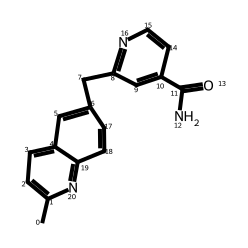 Cc1ccc2cc(Cc3cc(C(N)=O)ccn3)ccc2n1